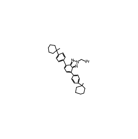 CC(C)Cn1nc2c(-c3ccc(C4(C)CCCCC4)cc3)ccc(-c3ccc(C4(C)CCCCC4)cc3)c2n1